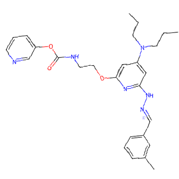 CCCN(CCC)c1cc(N/N=C/c2cccc(C)c2)nc(OCCNC(=O)Oc2cccnc2)c1